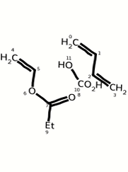 C=CC=C.C=COC(=O)CC.O=C(O)O